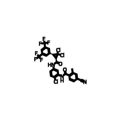 Cc1cc(C#N)ccc1C(=O)Nc1cc(NC(=O)[C@H]2[C@H](c3cc(C(F)(F)F)cc(C(F)(F)F)c3)C2(Cl)Cl)ccc1Cl